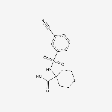 N#Cc1cccc(S(=O)(=O)NC2(C(=O)O)CCSCC2)c1